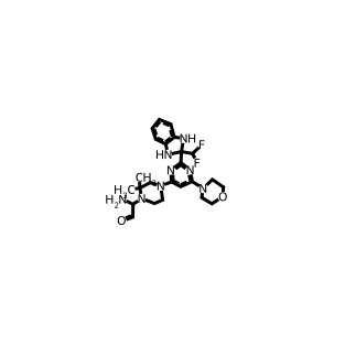 CC1(C)CN(c2cc(N3CCOCC3)nc(C3(C(F)F)Nc4ccccc4N3)n2)CCN1C(N)C=O